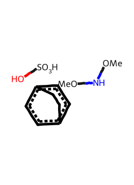 CONOC.O=S(=O)(O)O.c1cc2ccc1CC2